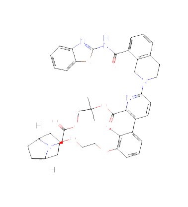 COC(=O)CN1[C@@H]2CC[C@H]1CC(OCCOc1cccc(-c3ccc(N4CCc5cccc(C(=O)Nc6nc7ccccc7s6)c5C4)nc3C(=O)OC(C)(C)C)c1C)C2